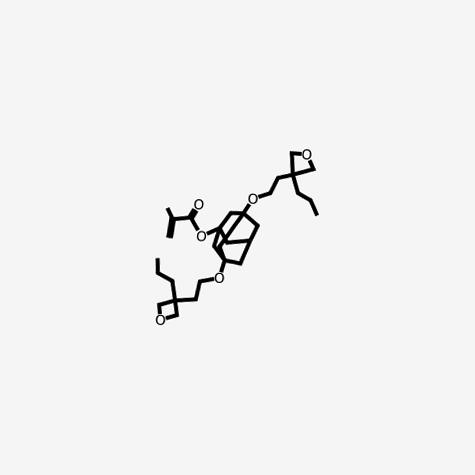 C=C(C)C(=O)OC12CC3CC(OCCC4(CCC)COC4)(CC(OCCC4(CCC)COC4)(C3)C1)C2